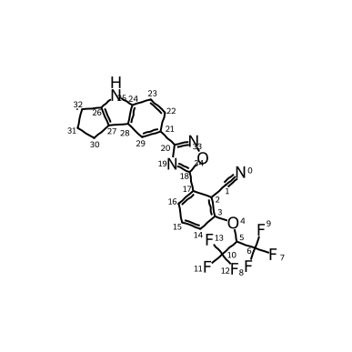 N#Cc1c(OC(C(F)(F)F)C(F)(F)F)cccc1-c1nc(-c2ccc3[nH]c4c(c3c2)CC[CH]4)no1